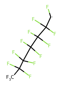 F[CH]C(F)(F)C(F)(F)C(F)(F)C(F)(F)C(F)(F)C(F)(F)F